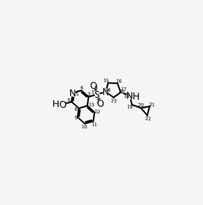 O=S(=O)(c1cnc(O)c2ccccc12)N1CC[C@@H](NCC2CC2)C1